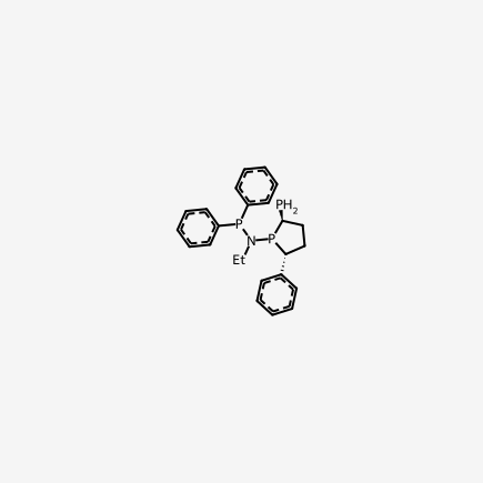 CCN(P(c1ccccc1)c1ccccc1)P1[C@@H](c2ccccc2)CC[C@@H]1P